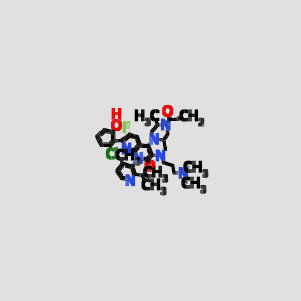 C=CC(=O)N1CC2CN(CCCN(C)C)c3c(c4cc(F)c(-c5c(O)cccc5Cl)nc4n(-c4c(C)ccnc4C(C)C)c3=O)N2CC1C